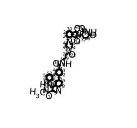 CNC(=O)c1cnc2ccc(-c3ccc(C(=O)NCCCC(=O)N4CCN(c5cccc6c5C(=O)N(C5CCC(=O)NC5=O)C6=O)CC4)cc3)cc2c1Nc1ccccc1